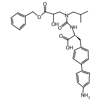 CC(C)CN(CC(O)C(=O)OCc1ccccc1)C(=O)N[C@@H](Cc1ccc(-c2ccc(N)cc2)cc1)C(=O)O